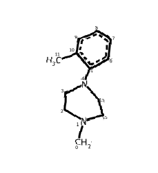 [CH2]N1CCN(c2ccccc2C)CC1